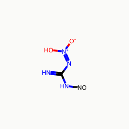 N=C(N=[N+]([O-])O)NN=O